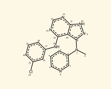 CN(c1cccnc1)c1n[nH]c2ncnc(Nc3cccc(Cl)c3)c12